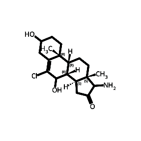 C[C@]12CCC(O)CC1=C(Cl)C(O)[C@@H]1[C@H]2CC[C@]2(C)C(N)C(=O)C[C@@H]12